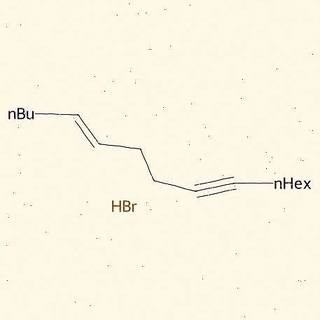 Br.CCCCC=CCCC#CCCCCCC